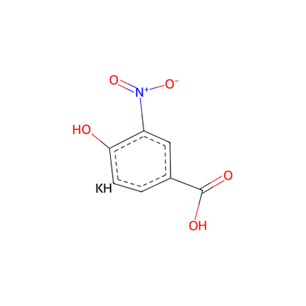 O=C(O)c1ccc(O)c([N+](=O)[O-])c1.[KH]